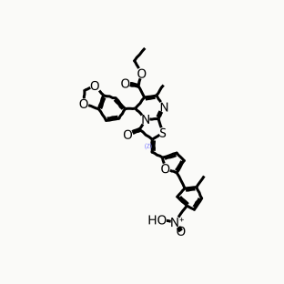 CCOC(=O)C1=C(C)N=c2s/c(=C\c3ccc(-c4cc([N+](=O)O)ccc4C)o3)c(=O)n2C1c1ccc2c(c1)OCO2